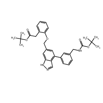 CC(C)(C)OC(=O)Cc1ccccc1OCc1cc(-c2cccc(CNC(=O)OC(C)(C)C)c2)c2cn[nH]c2c1